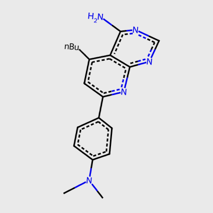 CCCCc1cc(-c2ccc(N(C)C)cc2)nc2ncnc(N)c12